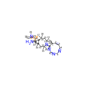 C=C1/C=C\C=N/C/N=C\N=C/1N1C(C)(C)CC(C)(C)C(P)(C(C)(N)CN(C)CC)C(C)(C)CC1(C)C